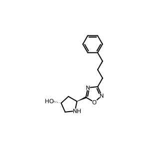 O[C@H]1CN[C@H](c2nc(CCCc3ccccc3)no2)C1